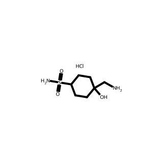 Cl.NCC1(O)CCC(S(N)(=O)=O)CC1